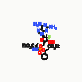 CCOC(=O)CCc1ccccc1OP(=O)(N[C@@H](C)C(=O)OCC)OC[C@H]1O[C@@H](n2cnc3c(N)nc(N)nc32)C(C)(F)C1O